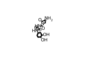 N[C@H]1CN(C(=O)NS(=O)(=O)Nc2ccc(O)c(O)c2)C1=O